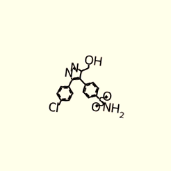 NS(=O)(=O)c1ccc(C2=C(c3ccc(Cl)cc3)N=NC2CO)cc1